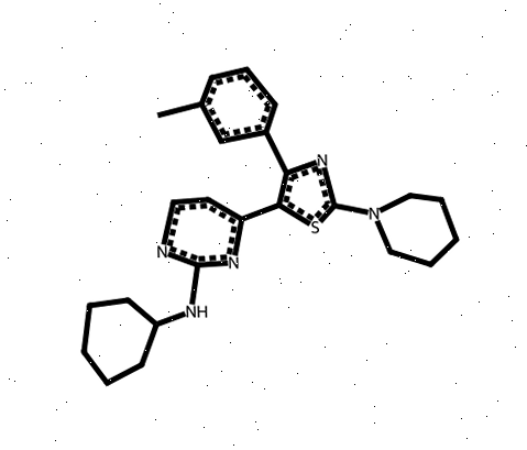 Cc1cccc(-c2nc(N3CCCCC3)sc2-c2ccnc(NC3CCCCC3)n2)c1